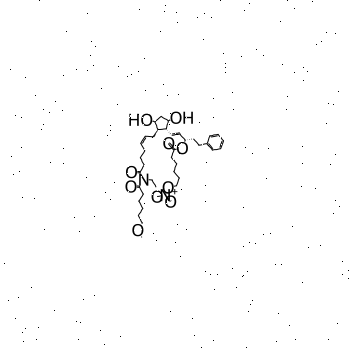 CCN(C(=O)CCC/C=C\C[C@@H]1[C@@H](/C=C/[C@H](CCc2ccccc2)OC(=O)CCCCCO[N+](=O)[O-])[C@H](O)C[C@@H]1O)C(=O)CCCCCOC